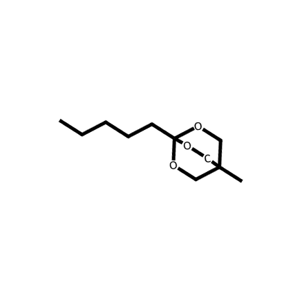 CCCCCC12OCC(C)(CO1)CO2